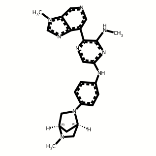 CNc1nc(Nc2ccc(N3C[C@H]4C[C@@H]3CN4C)cc2)cnc1-c1cncc2c1ncn2C